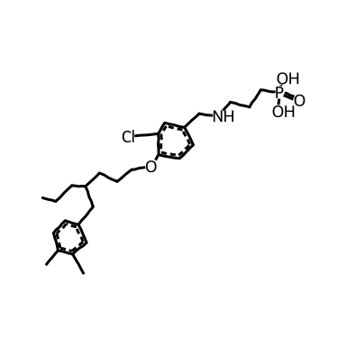 CCCC(CCCOc1ccc(CNCCCP(=O)(O)O)cc1Cl)Cc1ccc(C)c(C)c1